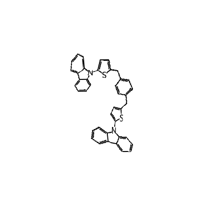 c1ccc2c(c1)c1ccccc1n2-c1ccc(Cc2ccc(Cc3ccc(-n4c5ccccc5c5ccccc54)s3)cc2)s1